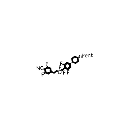 CCCCC[C@H]1CC[C@H](c2cc(F)c(C(F)(F)OCCc3cc(F)c(C#N)c(F)c3)c(F)c2)CC1